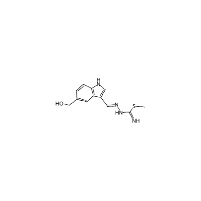 CSC(=N)N/N=C/c1c[nH]c2ccc(CO)cc12